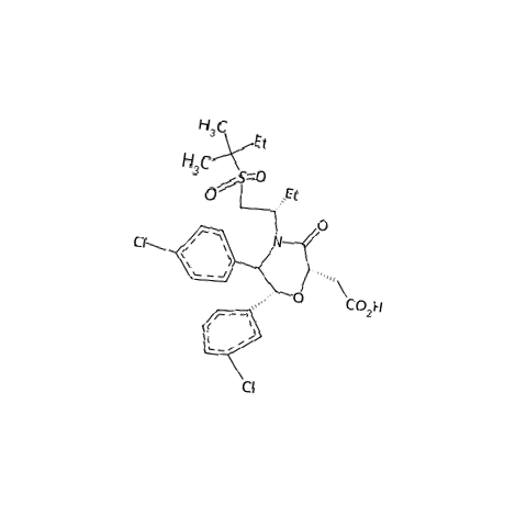 CC[C@@H](CS(=O)(=O)C(C)(C)CC)N1C(=O)[C@H](CC(=O)O)O[C@H](c2cccc(Cl)c2)C1c1ccc(Cl)cc1